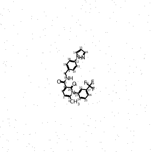 Cc1ccc(C(=O)NCc2ccc(-n3cccn3)cc2)c(=O)n1-c1cccc(C(F)(F)F)c1